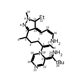 C/C=C(/CCC(C)C1=NN(C)C(CC)/C1=C\C=C/N)N1C=CN=C/C1=C(/N)C(C)(C)C